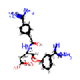 N=C(N)c1ccc(C(=O)N[C@@H](COc2cccc(C(=N)N)c2)CC(=O)O)cc1